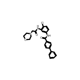 O=C(CN1CCOCC1)Nc1cc(NC(=O)c2ccc(-c3ccccc3)cc2)ccc1Cl